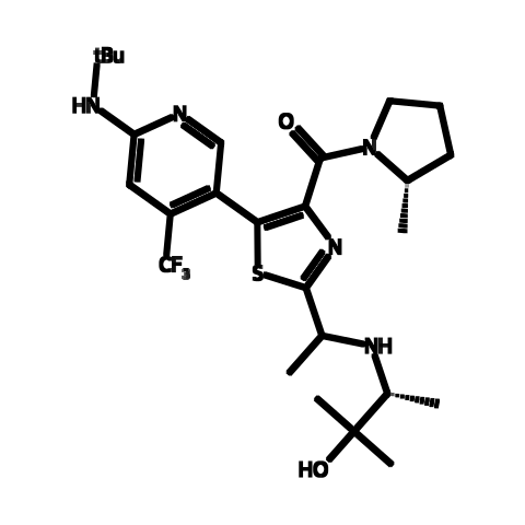 CC(N[C@H](C)C(C)(C)O)c1nc(C(=O)N2CCC[C@@H]2C)c(-c2cnc(NC(C)(C)C)cc2C(F)(F)F)s1